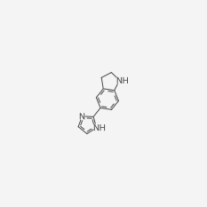 c1c[nH]c(-c2ccc3c(c2)CCN3)n1